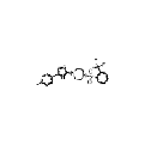 Cc1ccc(-c2csc(N3CCN(S(=O)(=O)c4ccccc4C(F)(F)F)CC3)n2)cc1